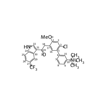 COc1cc(Cl)c(-c2cccc([N+](C)(C)C)c2)cc1CC(=O)c1c[nH]c2ccc(C(F)(F)F)cc12